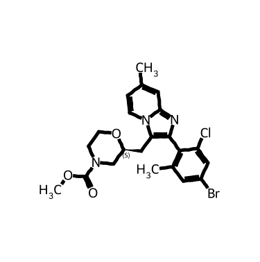 COC(=O)N1CCO[C@@H](Cc2c(-c3c(C)cc(Br)cc3Cl)nc3cc(C)ccn23)C1